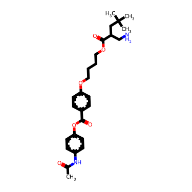 CC(=O)Nc1ccc(OC(=O)c2ccc(OCCCCOC(=O)C(CN)CC(C)(C)C)cc2)cc1